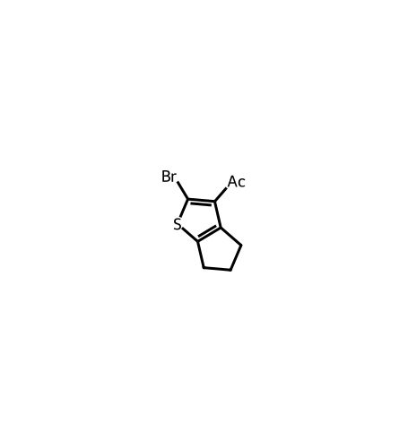 CC(=O)c1c(Br)sc2c1CCC2